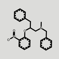 CN(Cc1ccccc1)CC(Cc1ccccc1)Oc1ccccc1[N+](=O)[O-]